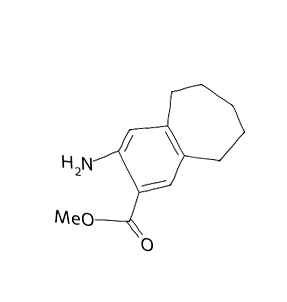 COC(=O)c1cc2c(cc1N)CCCCC2